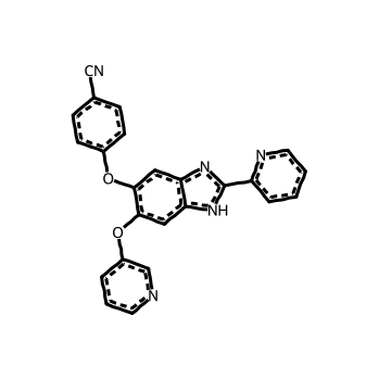 N#Cc1ccc(Oc2cc3nc(-c4ccccn4)[nH]c3cc2Oc2cccnc2)cc1